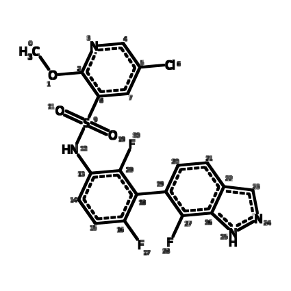 COc1ncc(Cl)cc1S(=O)(=O)Nc1ccc(F)c(-c2ccc3cn[nH]c3c2F)c1F